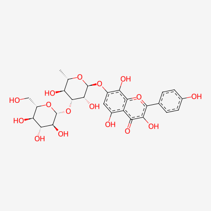 C[C@@H]1O[C@@H](Oc2cc(O)c3c(=O)c(O)c(-c4ccc(O)cc4)oc3c2O)[C@H](O)[C@H](O[C@H]2O[C@@H](CO)[C@H](O)[C@@H](O)[C@@H]2O)[C@H]1O